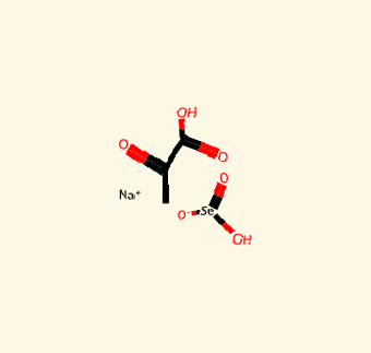 CC(=O)C(=O)O.O=[Se]([O-])O.[Na+]